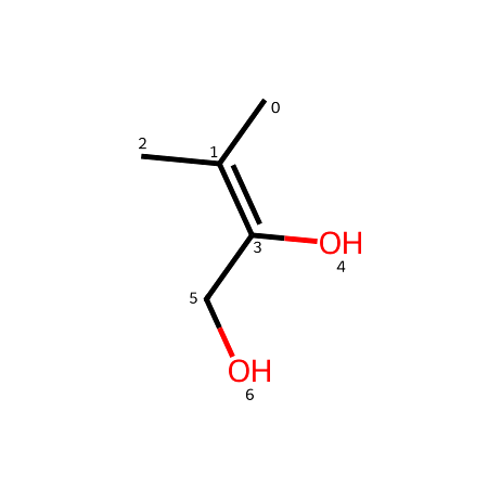 CC(C)=C(O)CO